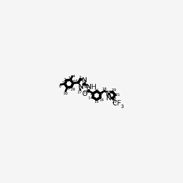 Cc1cc(C)c(-c2cnc(NC(=O)c3cccc(Cn4ccc(C(F)(F)F)n4)c3)n2C)cc1C